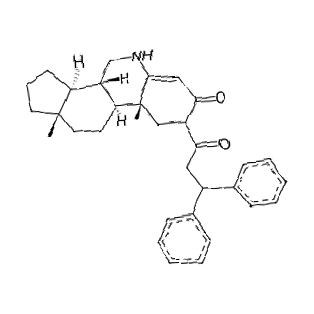 C[C@@]12CCC[C@H]1[C@@H]1CNC3=CC(=O)C(C(=O)CC(c4ccccc4)c4ccccc4)C[C@]3(C)[C@H]1CC2